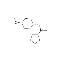 CO[C@H]1CC[C@H](CN(C)C2CCCC2)CC1